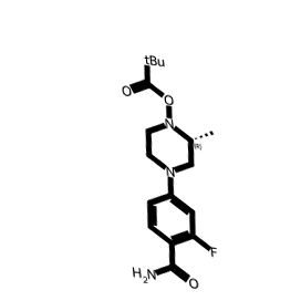 C[C@@H]1CN(c2ccc(C(N)=O)c(F)c2)CCN1OC(=O)C(C)(C)C